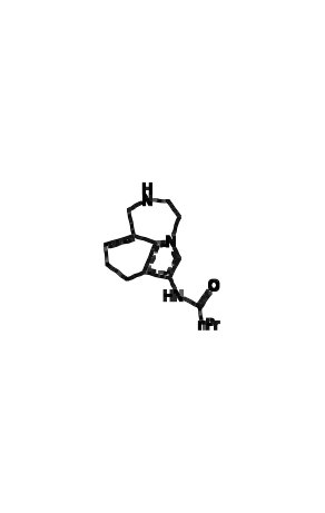 CCCC(=O)Nc1cn2c3c1CCC=C3CNCC2